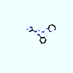 Cn1cc(-c2nc3c4cc(C(F)(F)F)ccc4nc(Nc4ccccnc4=O)n3n2)cn1